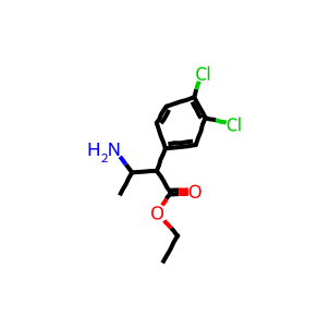 CCOC(=O)C(c1ccc(Cl)c(Cl)c1)C(C)N